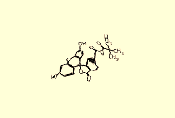 CC(C)(C)C(=O)OC(=O)c1ccc2c(c1)C1(OC2=O)c2ccc(O)cc2Oc2cc(O)ccc21